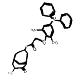 Cc1cc([SH](c2ccccc2)c2ccccc2)cc(C)c1OCC(=O)OC1CC2CC(C)C(=O)C(C2)C1